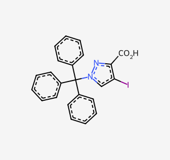 O=C(O)c1nn(C(c2ccccc2)(c2ccccc2)c2ccccc2)cc1I